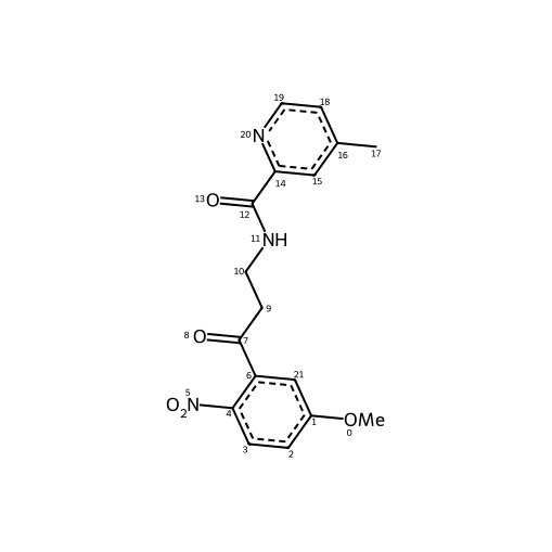 COc1ccc([N+](=O)[O-])c(C(=O)CCNC(=O)c2cc(C)ccn2)c1